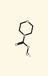 O=C(OC(F)(F)F)N1CCOCC1